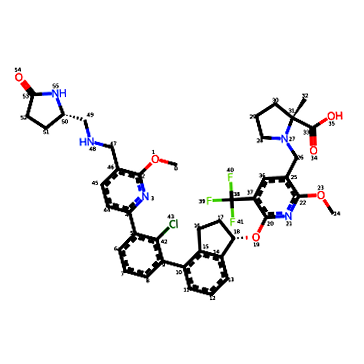 COc1nc(-c2cccc(-c3cccc4c3CC[C@@H]4Oc3nc(OC)c(CN4CCC[C@]4(C)C(=O)O)cc3C(F)(F)F)c2Cl)ccc1CNC[C@@H]1CCC(=O)N1